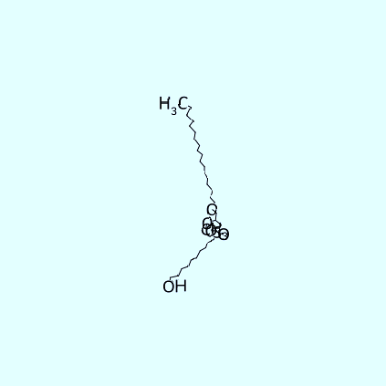 CCCCCCCCCCCCCCCCCCOCC(CS(=O)(=O)CCCCCCCCCCO)OC